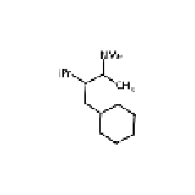 CNC(C)C(CC1CCCCC1)C(C)C